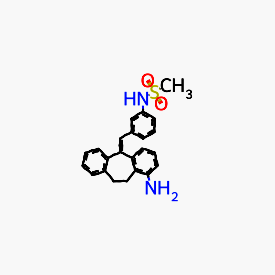 CS(=O)(=O)Nc1cccc(/C=C2/c3ccccc3CCc3c(N)cccc32)c1